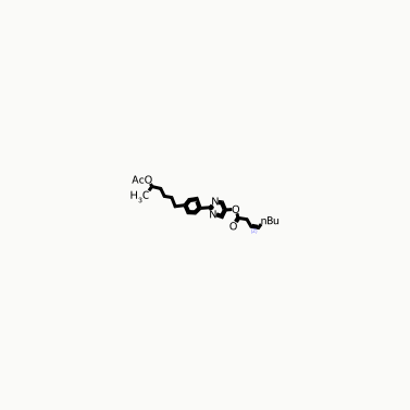 CCCC/C=C\CC(=O)Oc1cnc(-c2ccc(CCCCC(C)OC(C)=O)cc2)nc1